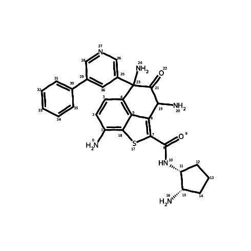 Nc1ccc2c3c(c(C(=O)N[C@@H]4CCC[C@@H]4N)sc13)C(N)C(=O)C2(N)c1cncc(-c2ccccc2)c1